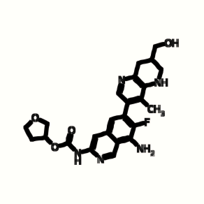 Cc1c(-c2cc3cc(NC(=O)OC4CCOC4)ncc3c(N)c2F)cnc2c1NCC(CO)C2